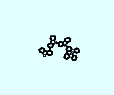 c1ccc([Si](c2ccccc2)(c2ccccc2)c2ccc(-n3c4ccccc4c4cc(-n5c6ccccc6c6ccc(-c7cccc8oc9ccccc9c78)cc65)ccc43)cc2)cc1